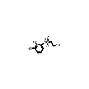 CCCS(=O)(=O)Nc1cccc(S)[n+]1[O-]